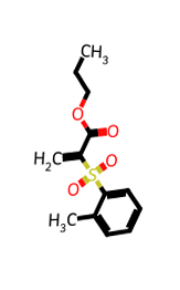 C=C(C(=O)OCCC)S(=O)(=O)c1ccccc1C